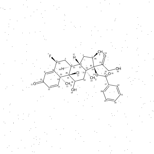 C[C@@H]1C[C@H]2[C@@H]3C[C@H](F)C4=CC(=O)C=C[C@]4(C)[C@@]3(Cl)C(O)C[C@]2(C)[C@@]1(OC(=O)c1ccccc1)C(=O)CO